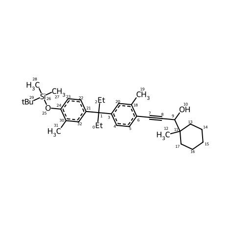 CCC(CC)(c1ccc(C#CC(O)C2(C)CCCCC2)c(C)c1)c1ccc(O[Si](C)(C)C(C)(C)C)c(C)c1